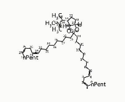 CCCCC/C=C\C/C=C\CCCCCCCCC1(CCCCCCCC/C=C\C/C=C\CCCCC)O[C@H]2CCC([C@H](C)N(C)C)[C@H]2O1